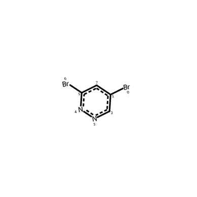 Brc1cnnc(Br)c1